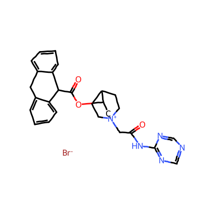 O=C(C[N+]12CCC(CC1)C(OC(=O)C1c3ccccc3Cc3ccccc31)C2)Nc1ncncn1.[Br-]